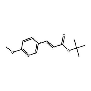 COc1ccc(C=CC(=O)OC(C)(C)C)cn1